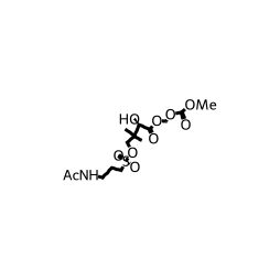 COC(=O)OCOC(=O)[C@H](O)C(C)(C)COS(=O)(=O)CCCNC(C)=O